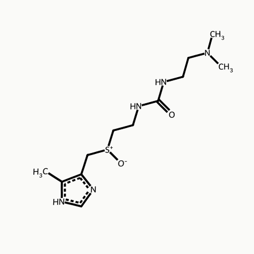 Cc1[nH]cnc1C[S+]([O-])CCNC(=O)NCCN(C)C